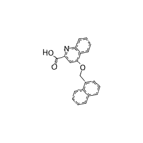 O=C(O)c1cc(OCc2cccc3ccccc23)c2ccccc2n1